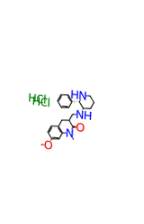 COc1ccc2c(c1)N(C)C(=O)C(CN[C@H]1CCCN[C@H]1c1ccccc1)C2.Cl.Cl